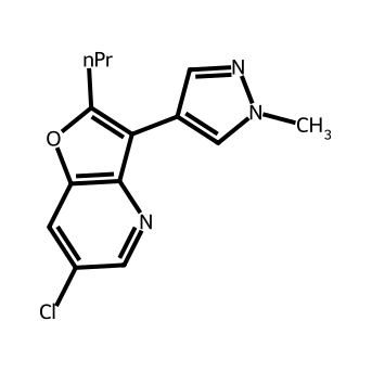 CCCc1oc2cc(Cl)cnc2c1-c1cnn(C)c1